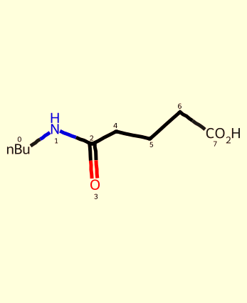 CCCCNC(=O)CCCC(=O)O